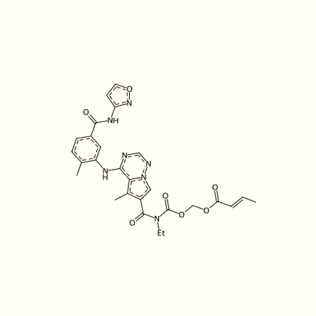 C/C=C/C(=O)OCOC(=O)N(CC)C(=O)c1cn2ncnc(Nc3cc(C(=O)Nc4ccon4)ccc3C)c2c1C